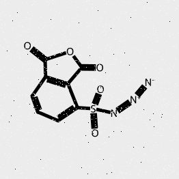 [N-]=[N+]=NS(=O)(=O)c1cccc2c1C(=O)OC2=O